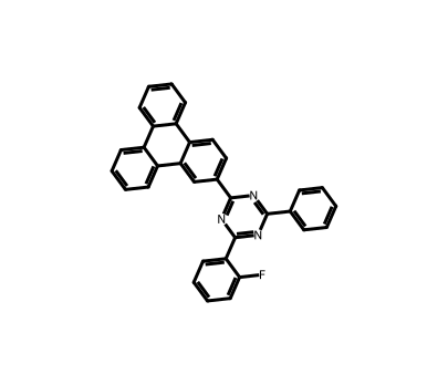 Fc1ccccc1-c1nc(-c2ccccc2)nc(-c2ccc3c4ccccc4c4ccccc4c3c2)n1